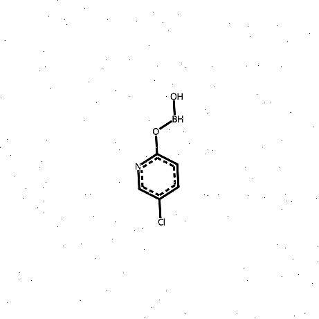 OBOc1ccc(Cl)cn1